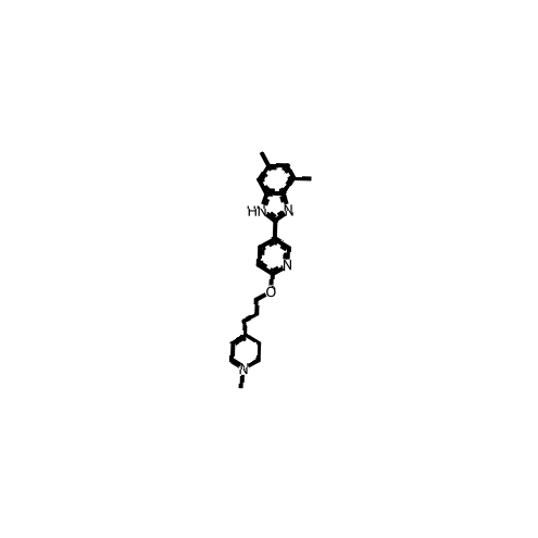 Cc1cc(C)c2nc(-c3ccc(OCCCC4=CCN(C)CC4)nc3)[nH]c2c1